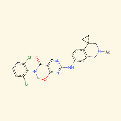 CC(=O)N1Cc2cc(Nc3ncc4c(n3)OCN(c3c(Cl)cccc3Cl)C4=O)ccc2C2(CC2)C1